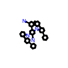 Cc1cc(C#N)cc(-c2cc(-n3c4ccccc4c4ccc(-c5ccccc5)cc43)c(C#N)cc2-n2c3ccccc3c3ccc(-c4ccccc4)cc32)c1